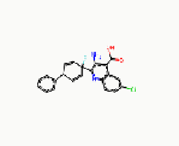 Nc1c(C2(F)C=CC(c3ccccc3)C=C2)nc2ccc(Cl)cc2c1C(=O)O